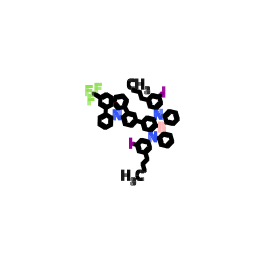 CCCCc1cc(I)cc(N2c3ccccc3B3c4ccccc4N(c4cc(I)cc(CCCC)c4)c4cc(-c5ccc6c(c5)c5ccccc5n6-c5ccccc5-c5cccc(C(F)(F)F)c5)cc2c43)c1